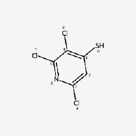 Sc1cc(Cl)nc(Cl)c1Cl